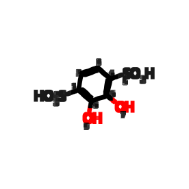 O=S(=O)(O)c1ccc(S(=O)(=O)O)c(O)c1O